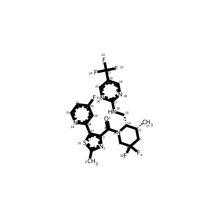 Cc1nc(C(=O)N2CC(F)(F)C[C@@H](C)[C@H]2CNc2ncc(C(F)(F)F)cn2)c(-c2cc(F)ccn2)s1